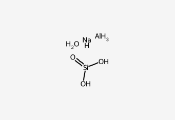 O.O=[Si](O)O.[AlH3].[NaH]